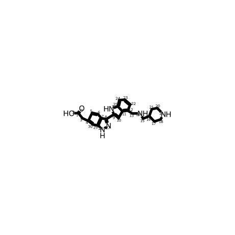 O=C(O)Cc1ccc2c(-c3cc4c(CNCC5CCNCC5)cccc4[nH]3)n[nH]c2c1